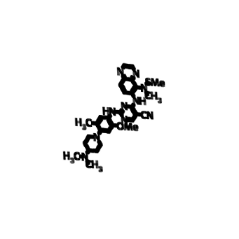 COc1cc(N2CCC(N(C)C)CC2)c(C)cc1Nc1ncc(C#N)c(Nc2ccc3nccnc3c2N(C)SC)n1